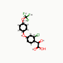 O=C(O)C(=O)c1ccc(Oc2ccc(OC(F)(F)F)cc2)cc1Cl